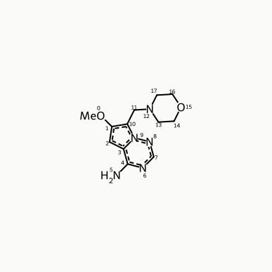 COc1cc2c(N)ncnn2c1CN1CCOCC1